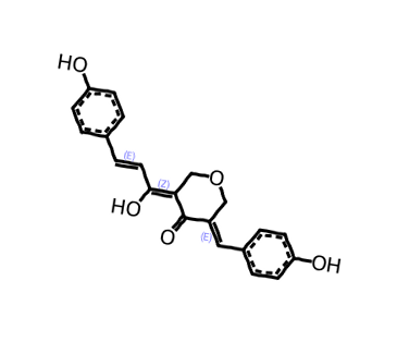 O=C1/C(=C(O)/C=C/c2ccc(O)cc2)COC/C1=C\c1ccc(O)cc1